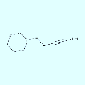 OC#CCCC1CCCCC1